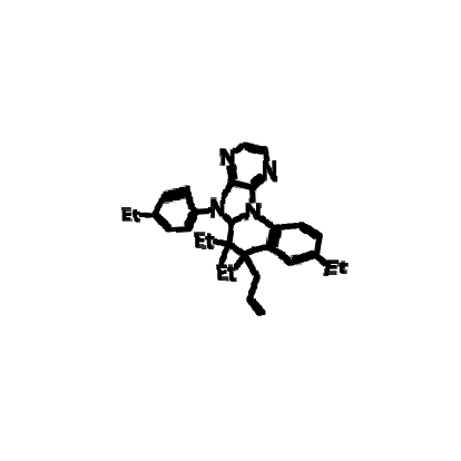 C=CCC1(CC)c2cc(CC)ccc2N2c3nccnc3N(c3ccc(CC)cc3)C2C1(C)CC